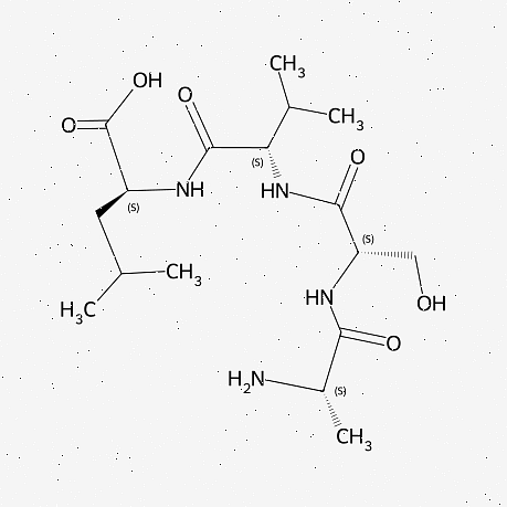 CC(C)C[C@H](NC(=O)[C@@H](NC(=O)[C@H](CO)NC(=O)[C@H](C)N)C(C)C)C(=O)O